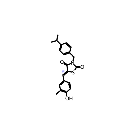 Cc1cc(/C=C2\SC(=O)N(Cc3ccc(C(C)C)cc3)C2=O)ccc1O